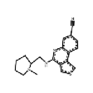 CN1CCCCC1CNc1nc2cc(C#N)ccc2c2cscc12